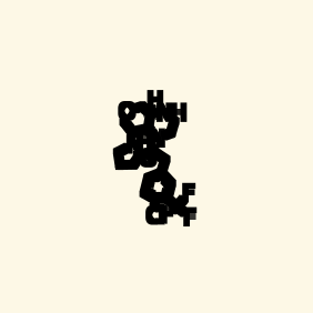 O=C(Cc1ccc(Cl)c(C(F)(F)F)c1)N1CCN[C@@H]2COCC(N3CCCC3)[C@H]21